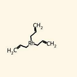 C=C[CH2][Rh]([CH2]C=C)[CH2]C=C